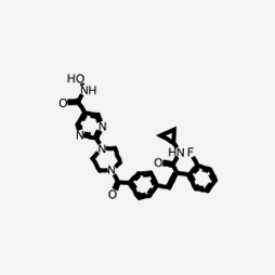 O=C(NC1CC1)/C(=C\c1ccc(C(=O)N2CCN(c3ncc(C(=O)NO)cn3)CC2)cc1)c1ccccc1F